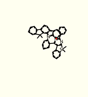 CC1(C)c2ccccc2-c2ccc3c4ccccc4n(-c4ccccc4-c4nc(-c5ccccc5)nc5c4-c4ccccc4[Si]5(C)C)c3c21